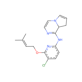 CC(C)=CCOc1nc(NC2=NC=CN3C=CCC23)ccc1Cl